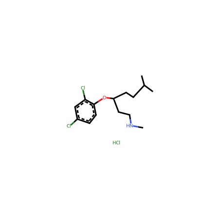 CNCCC(CCC(C)C)Oc1ccc(Cl)cc1Cl.Cl